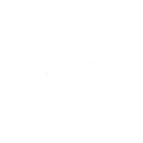 CC1(C)[C@@H]2CNC[C@@]1(C)C=C1C=C3NCN=C3CC12